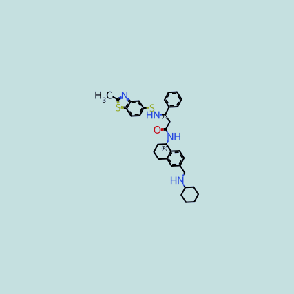 Cc1nc2cc(SN[C@H](CC(=O)N[C@@H]3CCCc4cc(CNC5CCCCC5)ccc43)c3ccccc3)ccc2s1